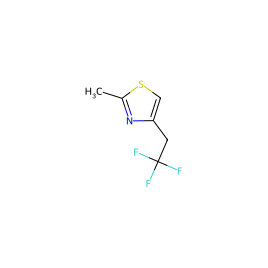 Cc1nc(CC(F)(F)F)cs1